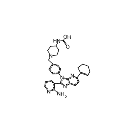 Nc1ncccc1-c1nc2ccc(C3=CCCCC3)nc2n1-c1ccc(CN2CCC(NC(=O)O)CC2)cc1